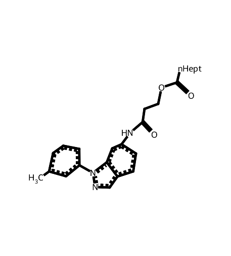 CCCCCCCC(=O)OCCC(=O)Nc1ccc2cnn(-c3cccc(C)c3)c2c1